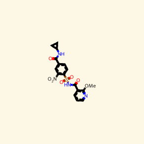 COc1ncccc1C(=O)NS(=O)(=O)c1ccc(C(=O)NC2CC2)cc1[N+](=O)[O-]